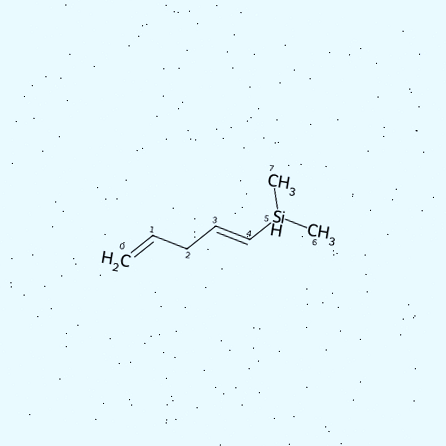 C=CCC=C[SiH](C)C